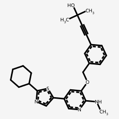 CNc1ncc(-c2cnc(C3CCCCC3)s2)cc1OCc1cccc(C#CC(C)(C)O)c1